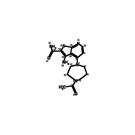 CC(=O)N1CCCN(c2ccnc3sc(C(N)=O)c(N)c23)CC1